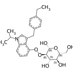 CCc1ccc(Cc2cn(C(C)C)c3cccc(OO[C@@H]4[C@@H](O)[C@H](O)[C@@H](CO)O[C@H]4O)c23)cc1